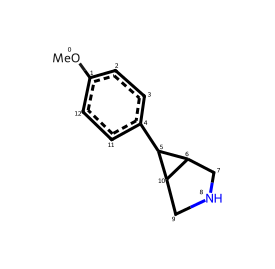 COc1ccc(C2C3CNCC32)cc1